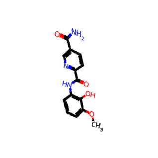 COc1cccc(NC(=O)c2ccc(C(N)=O)cn2)c1O